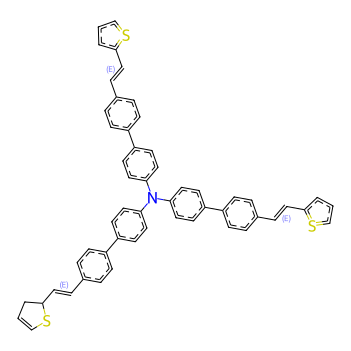 C1=CSC(/C=C/c2ccc(-c3ccc(N(c4ccc(-c5ccc(/C=C/c6cccs6)cc5)cc4)c4ccc(-c5ccc(/C=C/c6cccs6)cc5)cc4)cc3)cc2)C1